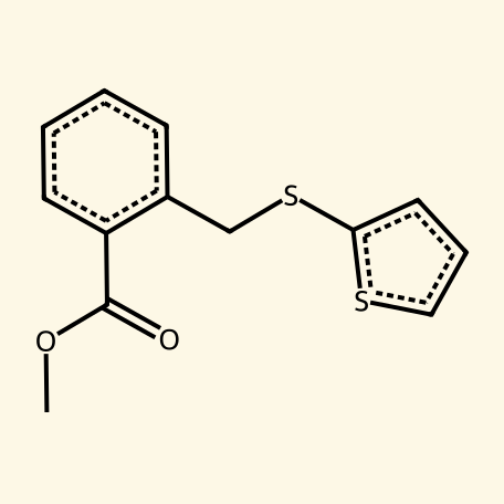 COC(=O)c1ccccc1CSc1cccs1